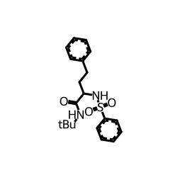 CC(C)(C)NC(=O)C(CCc1ccccc1)NS(=O)(=O)c1ccccc1